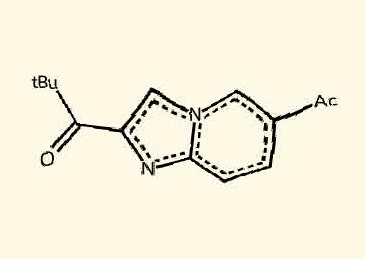 CC(=O)c1ccc2nc(C(=O)C(C)(C)C)cn2c1